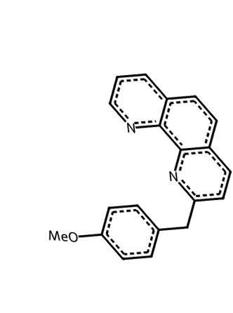 COc1ccc(Cc2ccc3ccc4cccnc4c3n2)cc1